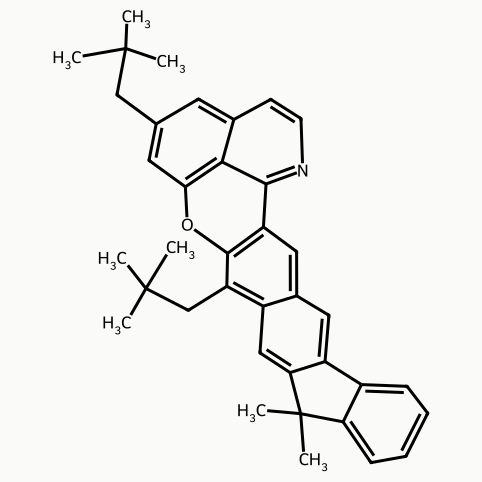 CC(C)(C)Cc1cc2c3c(nccc3c1)-c1cc3cc4c(cc3c(CC(C)(C)C)c1O2)C(C)(C)c1ccccc1-4